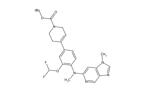 CN(c1cc2c(cn1)ncn2C)c1ccc(C2=CCN(C(=O)OC(C)(C)C)CC2)cc1OC(F)F